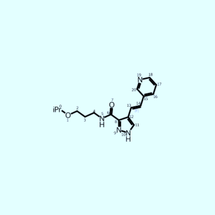 CC(C)OCCCNC(=O)c1n[nH]cc1/C=C/c1cccnc1